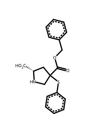 O=C(O)[C@@H]1CC(Sc2ccccc2)(C(=O)OCc2ccccc2)CN1